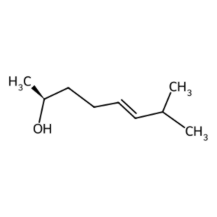 CC(C)/C=C/CC[C@H](C)O